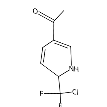 CC(=O)C1=CNC(C(F)(F)Cl)C=C1